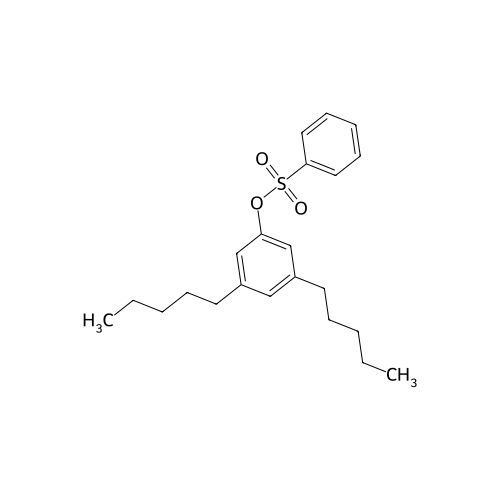 CCCCCc1cc(CCCCC)cc(OS(=O)(=O)c2ccccc2)c1